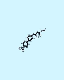 CCOC(=O)CC(Cl)Cc1ccc(-c2ccc([N+](=O)[O-])cc2)cc1